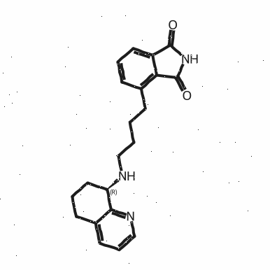 O=C1NC(=O)c2c(CCCCN[C@@H]3CCCc4cccnc43)cccc21